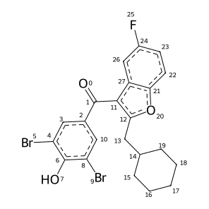 O=C(c1cc(Br)c(O)c(Br)c1)c1c(CC2CCCCC2)oc2ccc(F)cc12